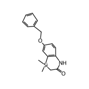 C[Si]1(C)CC(=O)Nc2ccc(OCc3ccccc3)cc21